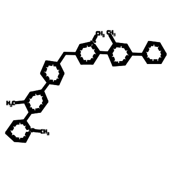 Cc1cc(-c2ccc(Cc3ccc(-c4ccc(-c5ccccc5)cc4C)[n+](C)c3)cc2)ccc1-c1cccc[n+]1C